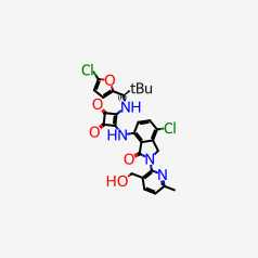 Cc1ccc(CO)c(N2Cc3c(Cl)ccc(Nc4c(N[C@@H](c5ccc(Cl)o5)C(C)(C)C)c(=O)c4=O)c3C2=O)n1